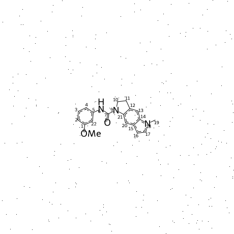 COc1cccc(NC(=O)N2CCc3cc4c(ccn4C)cc32)c1